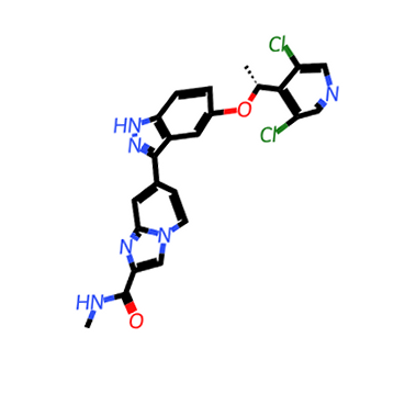 CNC(=O)c1cn2ccc(-c3n[nH]c4ccc(O[C@H](C)c5c(Cl)cncc5Cl)cc34)cc2n1